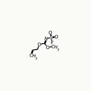 C=CCOC(=NS(=O)(=O)F)OC